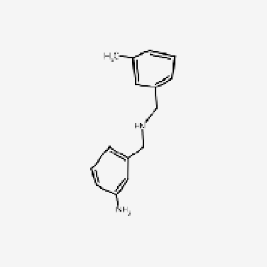 Cc1cccc(CNCc2cccc(N)c2)c1